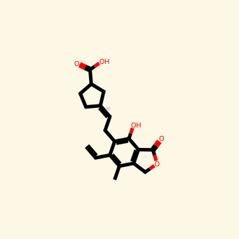 C=Cc1c(C)c2c(c(O)c1C/C=C1\CCC(C(=O)O)C1)C(=O)OC2